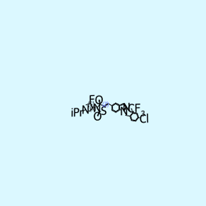 CC(C)N1C[C@@H](N2C(=O)S/C(=C\c3ccc4c(cnn4Cc4ccc(Cl)cc4C(F)(F)F)c3)C2=O)[C@@H](F)C1